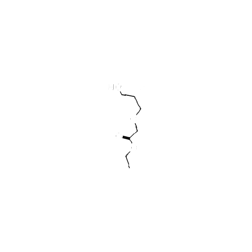 CCOC(=O)COC[C@@H](C)CO